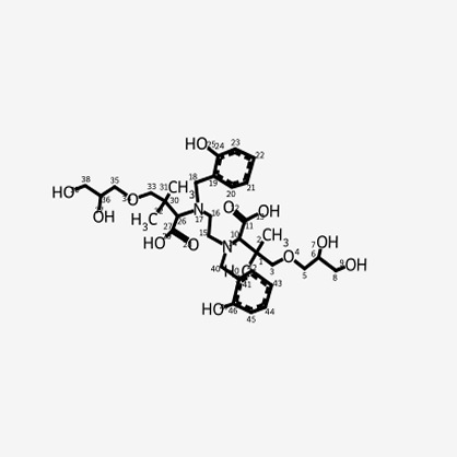 CC(C)(COCC(O)CO)C(C(=O)O)N(CCN(Cc1ccccc1O)C(C(=O)O)C(C)(C)COCC(O)CO)Cc1ccccc1O